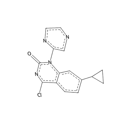 O=c1nc(Cl)c2ccc(C3CC3)cc2n1-c1cnccn1